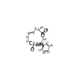 C[C@@H]1C/C=C/CCCC(=O)NC(c2ccccc2)COC1=O